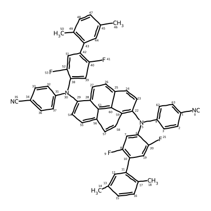 [C-]#[N+]c1ccc(N(c2cc(F)c(-c3cc(C)ccc3C)cc2F)c2ccc3ccc4c(N(c5ccc(C#N)cc5)c5cc(F)c(-c6cc(C)ccc6C)cc5F)ccc5ccc2c3c54)cc1